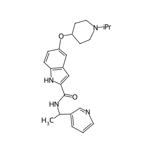 CC(NC(=O)c1cc2cc(OC3CCN(C(C)C)CC3)ccc2[nH]1)c1cccnc1